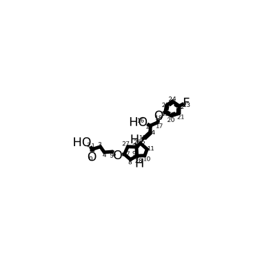 O=C(O)CCCOC1C[C@H]2CC[C@H](C=CC(O)COc3ccc(F)cc3)[C@@H]2C1